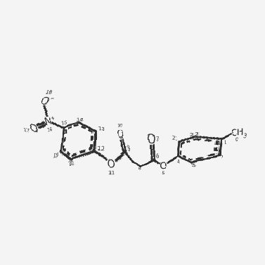 Cc1ccc(OC(=O)CC(=O)Oc2ccc([N+](=O)[O-])cc2)cc1